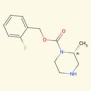 C[C@@H]1CNCCN1C(=O)OCc1ccccc1F